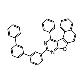 c1ccc(-c2cccc(-c3cccc(-c4nc(-c5ccccc5)c5c(n4)oc4ccc6ccccc6c45)c3)c2)cc1